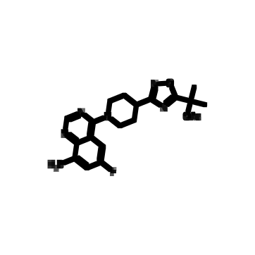 Bc1cc(F)cc2c(N3CCC(c4noc(C(C)(C)OC(C)=O)n4)CC3)ncnc12